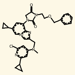 CN(Cc1cn2cc(C3CC3)cc(N3CC(=O)N(CCOCc4ccccc4)C3=O)c2n1)c1cc(Cl)nc(C2CC2)c1